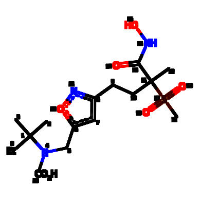 CCC(C)(C)N(Cc1cc(CCC(C)(C(=O)NO)S(C)(=O)=O)no1)C(=O)O